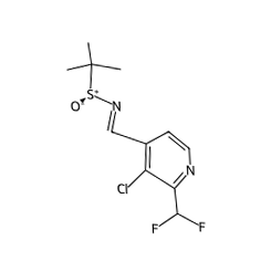 CC(C)(C)[S@+]([O-])N=Cc1ccnc(C(F)F)c1Cl